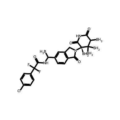 BC(NC(=O)C(F)(F)c1ccc(Cl)cc1)c1ccc2c(c1)CN([C@]1(B)C(=O)NC(=O)C(B)C1(B)B)C2=O